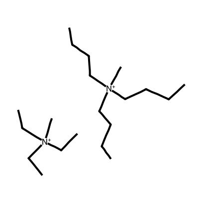 CCCC[N+](C)(CCCC)CCCC.CC[N+](C)(CC)CC